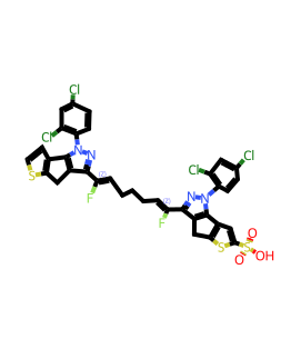 O=S(=O)(O)c1cc2c(s1)Cc1c(/C(F)=C/CCC/C=C(\F)c3nn(-c4ccc(Cl)cc4Cl)c4c3Cc3sccc3-4)nn(-c3ccc(Cl)cc3Cl)c1-2